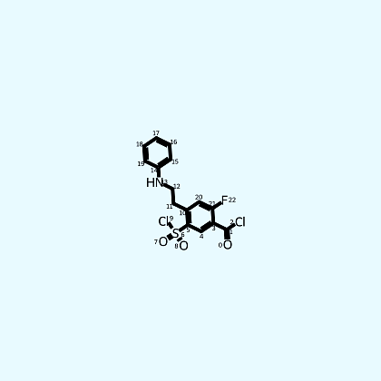 O=C(Cl)c1cc(S(=O)(=O)Cl)c(CCNc2ccccc2)cc1F